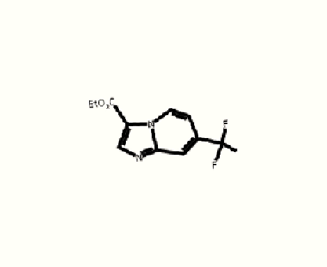 CCOC(=O)c1cnc2cc(C(C)(F)F)ccn12